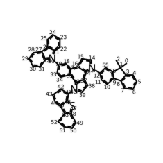 CC1(C)c2ccccc2-c2ccc(-n3ccc4c5cc(-n6c7ccccc7c7ccccc76)ccc5c5c(ccn5-c5cccc6c5sc5ccccc56)c43)cc21